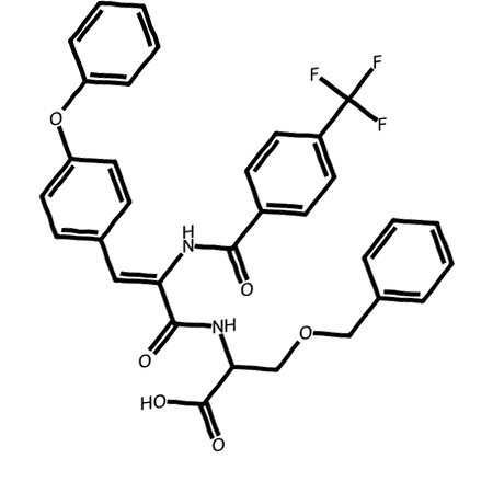 O=C(NC(COCc1ccccc1)C(=O)O)C(=Cc1ccc(Oc2ccccc2)cc1)NC(=O)c1ccc(C(F)(F)F)cc1